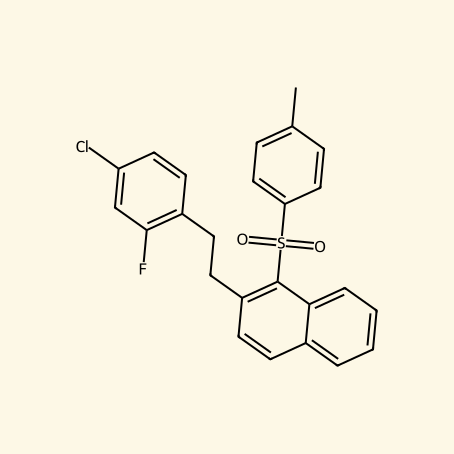 Cc1ccc(S(=O)(=O)c2c(CCc3ccc(Cl)cc3F)ccc3ccccc23)cc1